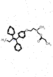 CCC(=O)OCN(C)CCOc1ccc(/C(=C(/CC)c2ccccc2)c2ccccc2)cc1